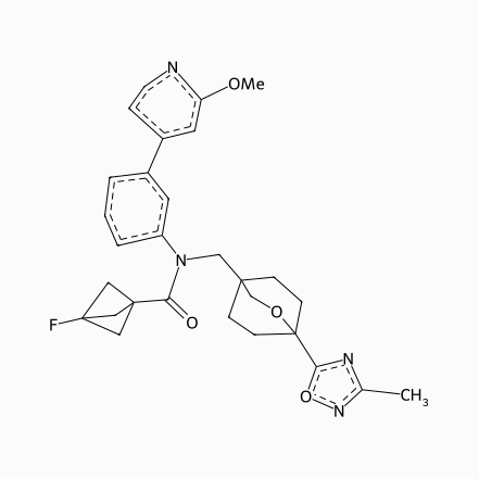 COc1cc(-c2cccc(N(CC34CCC(c5nc(C)no5)(CC3)OC4)C(=O)C34CC(F)(C3)C4)c2)ccn1